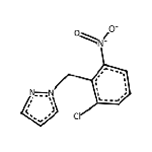 O=[N+]([O-])c1cccc(Cl)c1Cn1cccn1